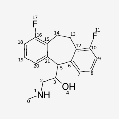 CNCC(O)C1c2cccc(F)c2CCc2c(F)cccc21